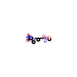 CN1C(=O)[C@H]2CN(Cc3c2c2ccccc2n3Cc2cccc(/C=C/C(=O)NOC3CCCCO3)c2)C1=O